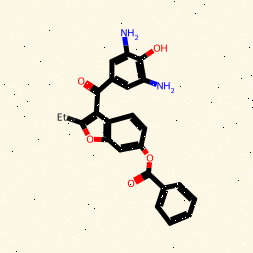 CCc1oc2cc(OC(=O)c3ccccc3)ccc2c1C(=O)c1cc(N)c(O)c(N)c1